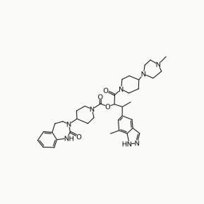 Cc1cc(C(C)C(OC(=O)N2CCC(N3CCc4ccccc4NC3=O)CC2)C(=O)N2CCC(N3CCN(C)CC3)CC2)cc2cn[nH]c12